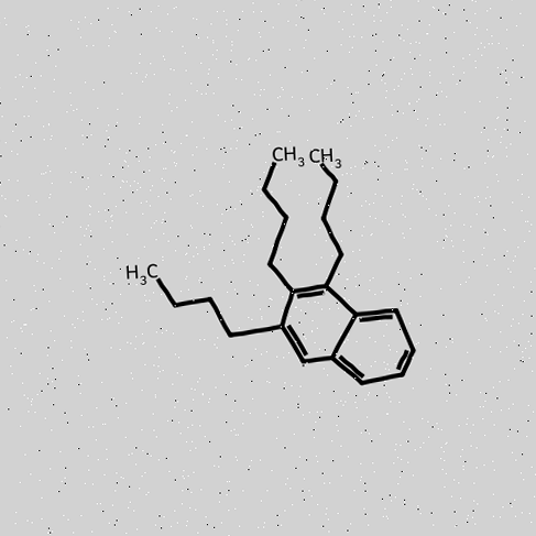 CCCCc1[c]c2ccccc2c(CCCC)c1CCCC